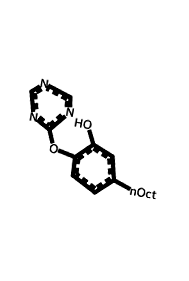 CCCCCCCCc1ccc(Oc2ncncn2)c(O)c1